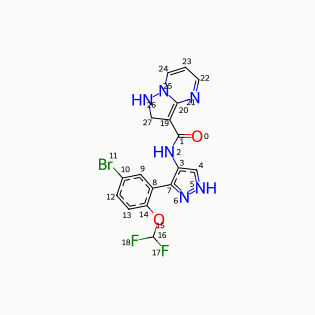 O=C(Nc1c[nH]nc1-c1cc(Br)ccc1OC(F)F)C1=C2N=CC=CN2NC1